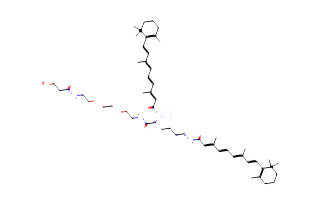 CCOCCC(=O)NCCOCCOCCNC(=O)[C@H](CCCCNC(=O)/C=C(C)/C=C/C=C(C)/C=C/C1=C(C)CCCC1(C)C)NC(=O)/C=C(C)/C=C/C=C(C)/C=C/C1=C(C)CCCC1(C)C